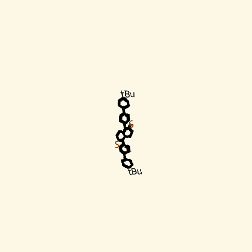 CC(C)(C)C1=CC=C(c2ccc3c4c(sc3c2)C=CC2=c3c(sc5cc(C6=CC=C(C(C)(C)C)CC6)ccc35)=CCC24)CC1